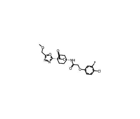 COCc1nnc([C@]23CC[C@](NC(=O)COc4ccc(Cl)c(F)c4)(CC2)CC3=O)o1